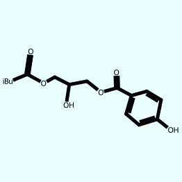 CCC(C)C(=O)OCC(O)COC(=O)c1ccc(O)cc1